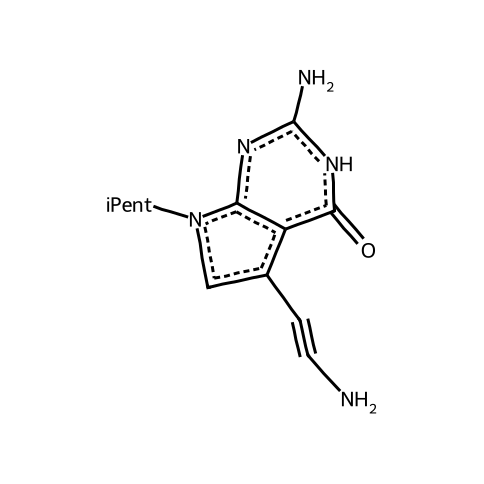 CCCC(C)n1cc(C#CN)c2c(=O)[nH]c(N)nc21